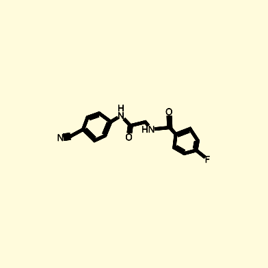 N#Cc1ccc(NC(=O)CNC(=O)c2ccc(F)cc2)cc1